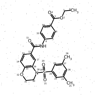 CCOC(=O)c1ccc(NC(=O)c2ccc3c(c2)N(S(=O)(=O)c2cc(C)cc(C)c2)CCO3)cc1